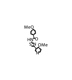 COc1ccc(C(=O)Nc2nc(-c3cnccc3OC)cs2)cc1